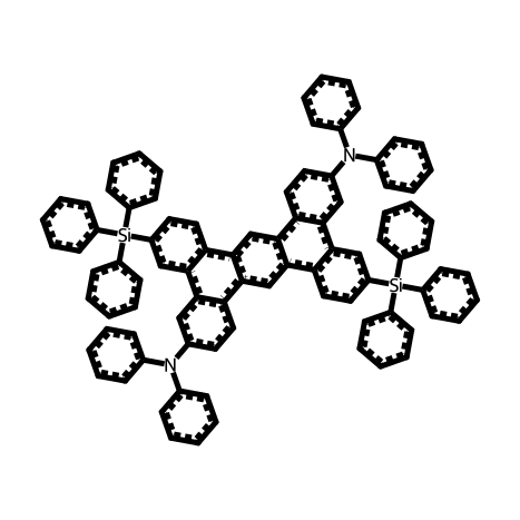 c1ccc(N(c2ccccc2)c2ccc3c(c2)c2cc([Si](c4ccccc4)(c4ccccc4)c4ccccc4)ccc2c2cc4c5ccc(N(c6ccccc6)c6ccccc6)cc5c5cc([Si](c6ccccc6)(c6ccccc6)c6ccccc6)ccc5c4cc32)cc1